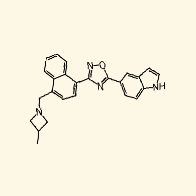 CC1CN(Cc2ccc(-c3noc(-c4ccc5[nH]ccc5c4)n3)c3ccccc23)C1